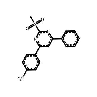 CS(=O)(=O)c1nc(-c2ccccc2)cc(-c2ccc(C(F)(F)F)cc2)n1